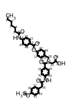 CCCCCCC(=O)Nc1ccc(C(=O)Oc2ccc(CN(CC(=O)O)C(=O)c3ccc(NC(=O)Cc4ccc(OC)cc4)cc3)cc2)cc1